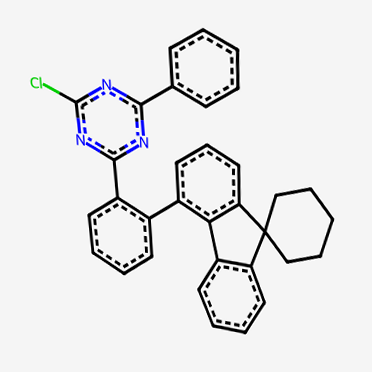 Clc1nc(-c2ccccc2)nc(-c2ccccc2-c2cccc3c2-c2ccccc2C32CCCCC2)n1